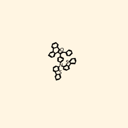 c1ccc(-c2oc3c4ccccc4c4ccccc4c3c2-c2ccc(N(c3cccc4c3sc3ccccc34)c3cccc4c3sc3ccccc34)cc2)cc1